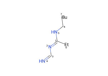 CC/C(=N\C=N)NCC(C)CC